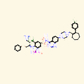 CN(C)CC[C@H](CSc1ccccc1)Nc1c([N+](=O)[O-])cc(S(=O)(=O)Nc2ncnc3cc(N4CCN(CC5=C(c6ccc(Cl)cc6)CCCCC5)CC4)ccc23)cc1C(F)(F)F